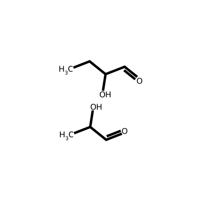 CC(O)C=O.CCC(O)C=O